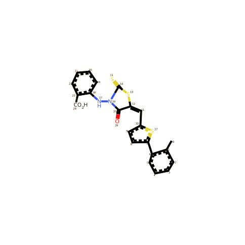 Cc1ccccc1-c1ccc(/C=C2/SC(=S)N(Nc3ccccc3C(=O)O)C2=O)s1